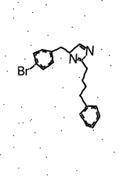 Brc1ccc(CC2C=NC(CCCCc3ccccc3)=N2)cc1